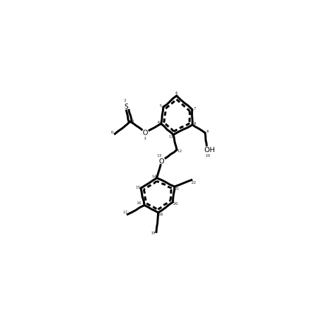 CC(=S)Oc1cccc(CO)c1COc1cc(C)c(C)cc1C